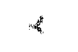 CN(C)C(c1ccc(Cl)cc1)C1CCC(OC(=O)c2ccsc2)CC1